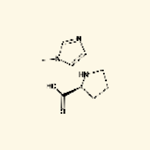 Cn1ccnc1.O=C(O)[C@@H]1CCCN1